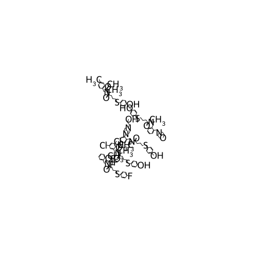 CN(Cc1ccccc1CN1CCOCC1)C(=O)CCCSc1ccc(O)cc1.CN(Cc1ccccc1N1CCN(CCO)CC1)C(=O)CCCSc1ccc(O)cc1.COc1c(Cl)cc(Cl)cc1CN(C)C(=O)CCCSc1ccc(O)cc1.COc1cc(C)ccc1CN(C)C(=O)CCCSc1ccc(O)cc1.COc1ccccc1CN(CC(F)(F)F)C(=O)CCCSc1ccc(F)cc1